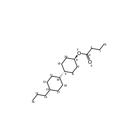 CCCC(=O)O[C@H]1CC[C@H](C2CCC(CCC)CC2)CC1